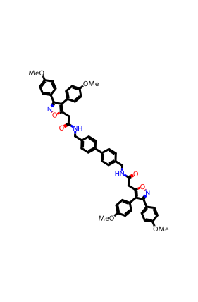 COc1ccc(-c2noc(CC(=O)NCc3ccc(-c4ccc(CNC(=O)Cc5onc(-c6ccc(OC)cc6)c5-c5ccc(OC)cc5)cc4)cc3)c2-c2ccc(OC)cc2)cc1